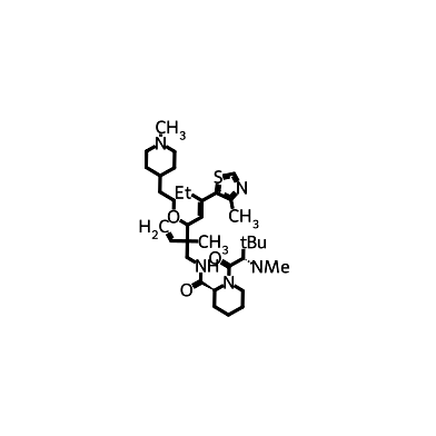 C=CC(C)(CNC(=O)[C@@H]1CCCCN1C(=O)[C@@H](NC)C(C)(C)C)C(/C=C(\CC)c1scnc1C)OCCC1CCN(C)CC1